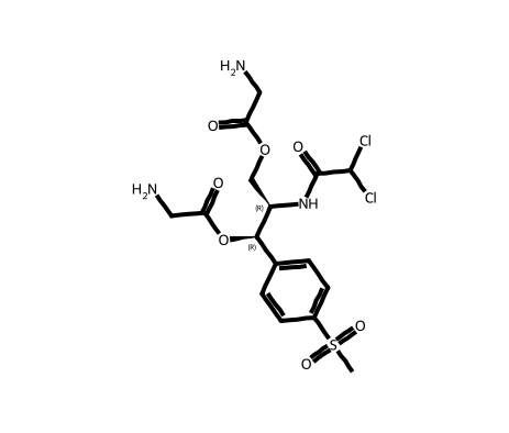 CS(=O)(=O)c1ccc([C@@H](OC(=O)CN)[C@@H](COC(=O)CN)NC(=O)C(Cl)Cl)cc1